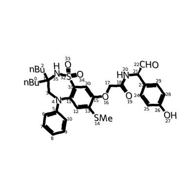 CCCCC1(CCCC)CN(c2ccccc2)c2cc(SC)c(OCC(=O)N[C@@H](C=O)c3ccc(O)cc3)cc2S(=O)(=O)N1